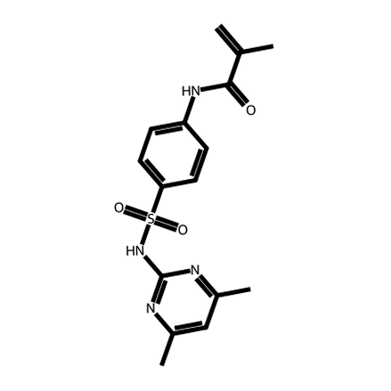 C=C(C)C(=O)Nc1ccc(S(=O)(=O)Nc2nc(C)cc(C)n2)cc1